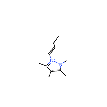 CC/C=C/[n+]1c(C)c(C)c(C)n1C